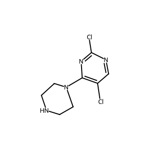 Clc1ncc(Cl)c(N2CCNCC2)n1